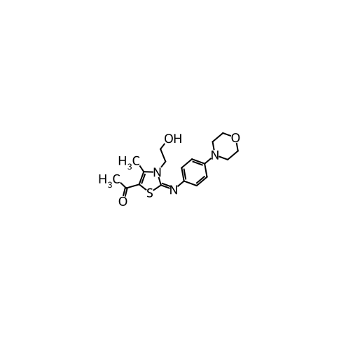 CC(=O)c1sc(=Nc2ccc(N3CCOCC3)cc2)n(CCO)c1C